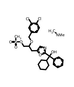 CNC.CS(=O)(=O)OCC(Cc1cnc(C(O)(c2ccccc2)C2CCCCC2)o1)OCc1ccc(Cl)c(Cl)c1